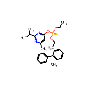 C.CCOP(=S)(OCC)Oc1cc(C)nc(C(C)C)n1.c1ccc(-c2ccccc2)cc1